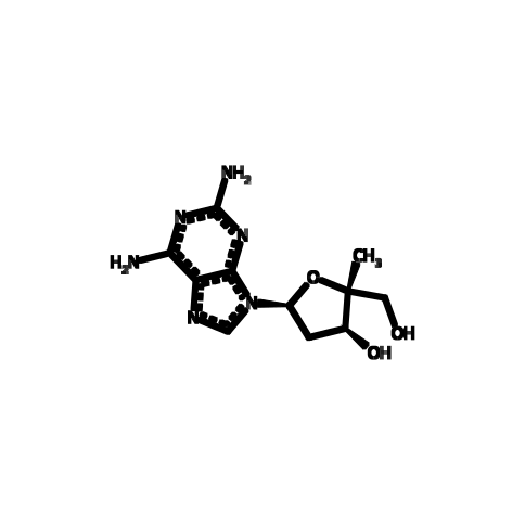 C[C@]1(CO)O[C@H](n2cnc3c(N)nc(N)nc32)C[C@@H]1O